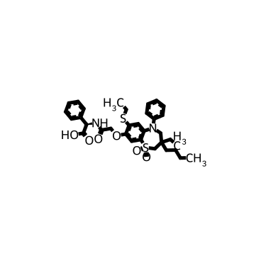 CCCCC1(CC)CN(c2ccccc2)c2cc(SCC)c(OCC(=O)N[C@@H](C(=O)O)c3ccccc3)cc2S(=O)(=O)C1